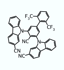 N#Cc1ccc2c3ccccc3n(-c3cc(-c4c(C(F)(F)F)cccc4C(F)(F)F)cc(-n4c5ccccc5c5ccc(C#N)cc54)c3C#N)c2c1